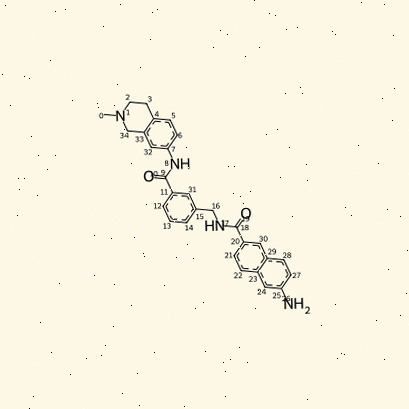 CN1CCc2ccc(NC(=O)c3cccc(CNC(=O)c4ccc5cc(N)ccc5c4)c3)cc2C1